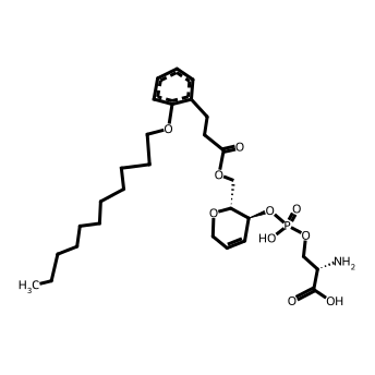 CCCCCCCCCCCOc1ccccc1CCC(=O)OC[C@H]1OCC=C[C@@H]1OP(=O)(O)OC[C@H](N)C(=O)O